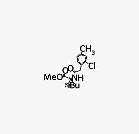 CC[C@H](C)[C@H](NC(=O)Cc1ccc(C)cc1Cl)C(=O)OC